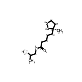 CC(C)COC(=O)CCCC[C@]1(C)CCSS1